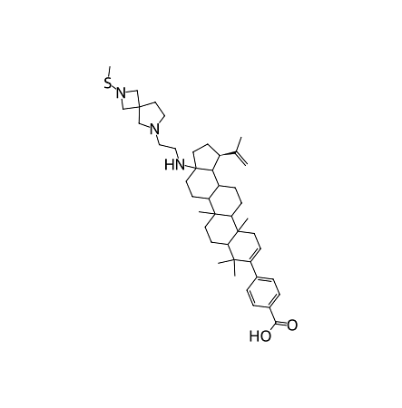 C=C(C)[C@@H]1CCC2(NCCN3CCC4(C3)CN(SC)C4)CCC3C(CCC4C3(C)CCC3C(C)(C)C(c5ccc(C(=O)O)cc5)=CCC34C)C12